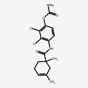 CNC(=O)Oc1ccc(NC(=O)C2(C)CCC=C(C)C2)c(Cl)c1Cl